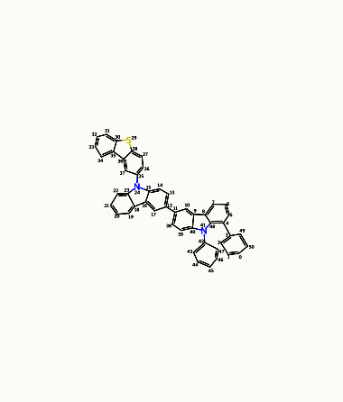 c1ccc(-c2cccc3c4cc(-c5ccc6c(c5)c5ccccc5n6-c5ccc6sc7ccccc7c6c5)ccc4n(-c4ccccc4)c23)cc1